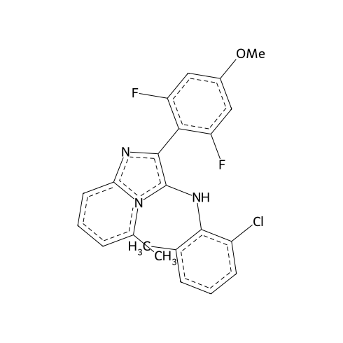 COc1cc(F)c(-c2nc3cccc(C)n3c2Nc2c(C)cccc2Cl)c(F)c1